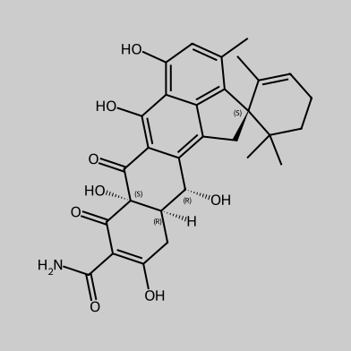 CC1=CCCC(C)(C)[C@@]12Cc1c3c(c(O)c4c(O)cc(C)c2c14)C(=O)[C@]1(O)C(=O)C(C(N)=O)=C(O)C[C@@H]1[C@H]3O